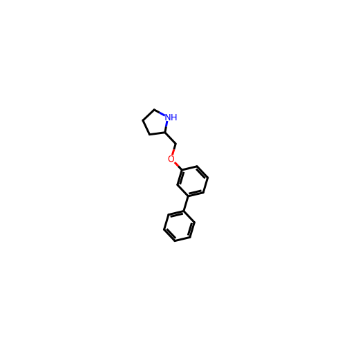 c1ccc(-c2cccc(OCC3CCCN3)c2)cc1